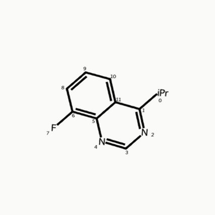 CC(C)c1ncnc2c(F)cccc12